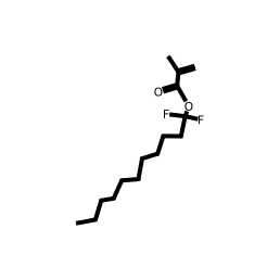 C=C(C)C(=O)OC(F)(F)CCCCCCCCCC